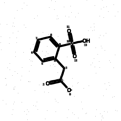 [O]C(=O)Cc1ccccc1S(=O)(=O)O